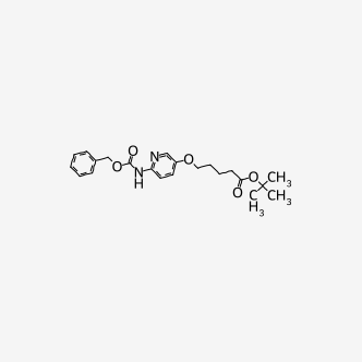 CC(C)(C)OC(=O)CCCCOc1ccc(NC(=O)OCc2ccccc2)nc1